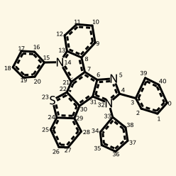 c1ccc(-c2nc3c4c5ccccc5n(-c5ccccc5)c4c4sc5ccccc5c4c3n2-c2ccccc2)cc1